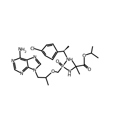 CC(C)OC(=O)C(C)(C)NP(=O)(COC(C)Cn1cnc2c(N)ncnc21)N[C@H](C)c1ccc(Cl)cc1